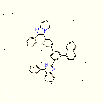 c1ccc(-c2nc3ccccn3c2-c2ccc(-c3cc(-c4nc(-c5ccccc5)c5ccccc5n4)cc(-c4cccc5ccccc45)c3)cc2)cc1